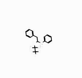 FC(F)(F)C(F)(F)OC(Cc1ccccc1)Nc1cc[c]cc1